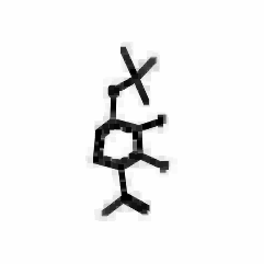 C=C(C)c1ccc(OC(C)(C)C)c(F)c1F